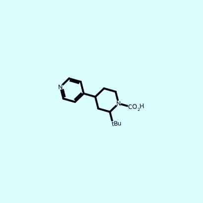 CC(C)(C)C1CC(c2ccncc2)CCN1C(=O)O